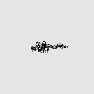 Cn1cc(-c2ccccc2Oc2ccccc2)c2cc(C(=O)NCCOCCOCCC(=O)O)[nH]c2c1=O